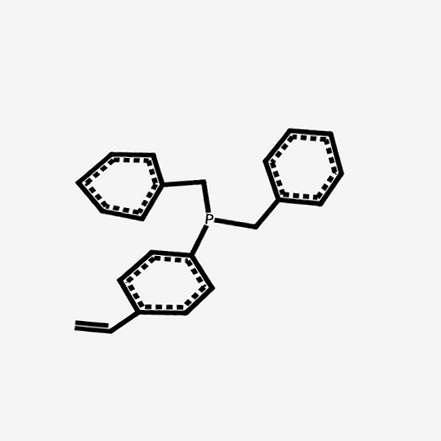 C=Cc1ccc(P(Cc2ccccc2)Cc2ccccc2)cc1